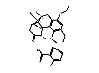 CCOc1cc(OC)c(OC)c2c1C[C@@H]1[C@@H]3CCC(=O)[C@@H](C)[C@]23CCN1C.O=C(O)c1ccccc1O